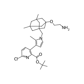 Cc1c(-c2ccc(Cl)nc2C(=O)OC(C)(C)C)ccn1CC12CC3(C)CC(C)(C1)CC(OCCN)(C3)C2